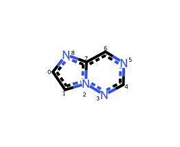 c1cn2ncncc2n1